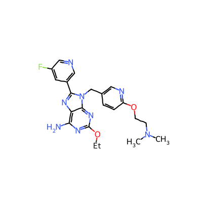 CCOc1nc(N)c2nc(-c3cncc(F)c3)n(Cc3ccc(OCCN(C)C)nc3)c2n1